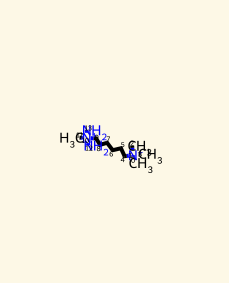 C[N+](C)(C)CCCCCC[N+](C)(N)N